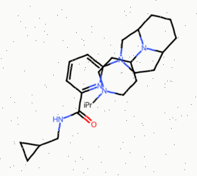 CC(C)N1CCC(N2C3CCCC2CN(c2cccc(C(=O)NCC4CC4)n2)CC3)CC1